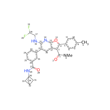 CNC(=O)c1c(-c2ccc(C)cc2)oc2nc(NCC(F)F)c(-c3cccc(C(=O)NC45CC(C4)C5)c3)cc12